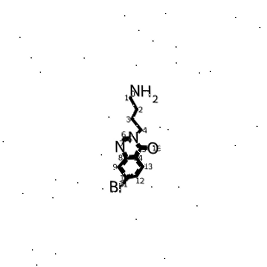 NCCCCn1cnc2cc(Br)ccc2c1=O